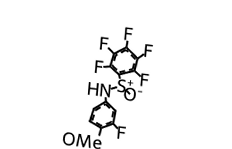 COc1ccc(N[S+]([O-])c2c(F)c(F)c(F)c(F)c2F)cc1F